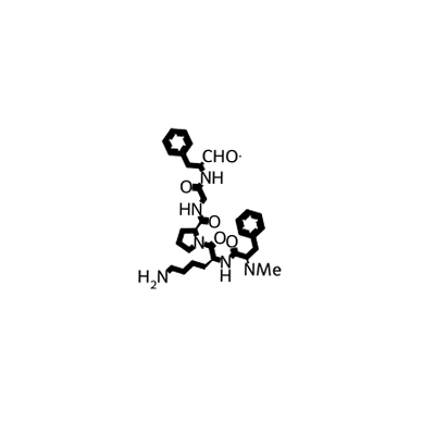 CN[C@@H](Cc1ccccc1)C(=O)N[C@@H](CCCCN)C(=O)N1CCC[C@H]1C(=O)NCC(=O)N[C@H]([C]=O)Cc1ccccc1